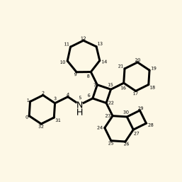 C1CCC(CNC2C(C3CCCCCC3)C(C3CCCCC3)C2C2CCCC3CCC32)CC1